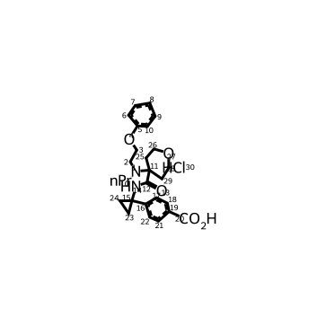 CCCN(CCOc1ccccc1)C1(C(=O)NC2(c3ccc(C(=O)O)cc3)CC2)CCOCC1.Cl